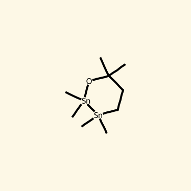 CC1(C)C[CH2][Sn]([CH3])([CH3])[Sn]([CH3])([CH3])[O]1